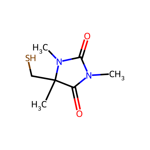 CN1C(=O)N(C)C(C)(CS)C1=O